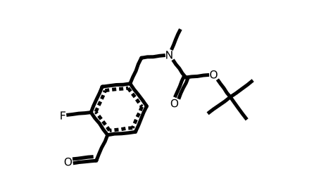 CN(Cc1ccc(C=O)c(F)c1)C(=O)OC(C)(C)C